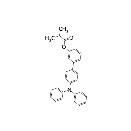 CC(C)C(=O)Oc1cccc(-c2ccc(N(c3ccccc3)c3ccccc3)cc2)c1